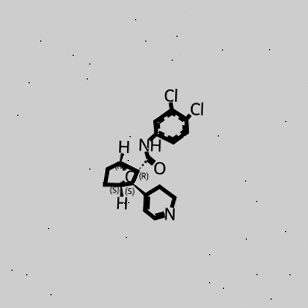 O=C(Nc1ccc(Cl)c(Cl)c1)[C@@H]1[C@@H](C2=CC=NCC2)[C@@H]2CC[C@H]1O2